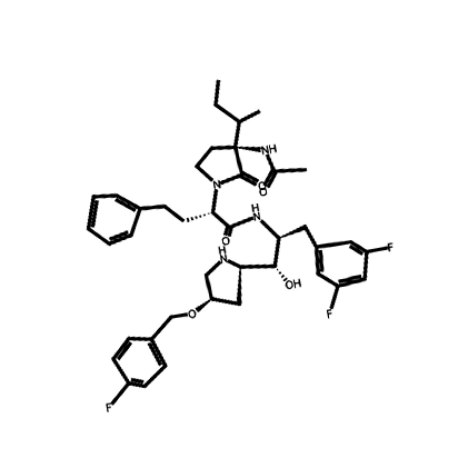 CCC(C)[C@@]1(NC(C)=O)CCN([C@@H](CCc2ccccc2)C(=O)N[C@@H](Cc2cc(F)cc(F)c2)[C@H](O)[C@H]2C[C@@H](OCc3ccc(F)cc3)CN2)C1=O